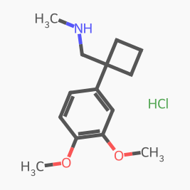 CNCC1(c2ccc(OC)c(OC)c2)CCC1.Cl